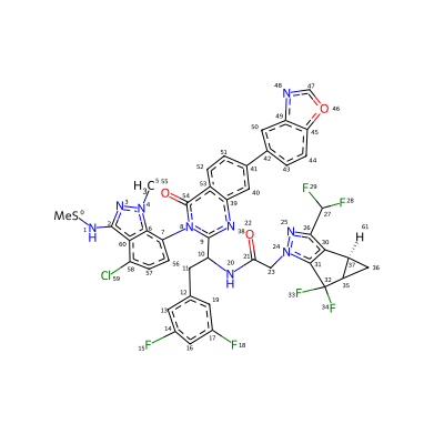 CSNc1nn(C)c2c(-n3c(C(Cc4cc(F)cc(F)c4)NC(=O)Cn4nc(C(F)F)c5c4C(F)(F)C4C[C@H]54)nc4cc(-c5ccc6ocnc6c5)ccc4c3=O)ccc(Cl)c12